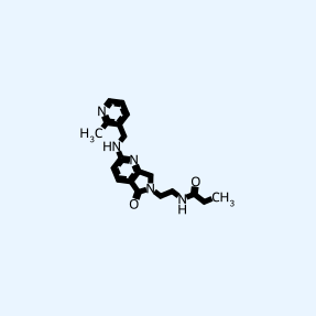 CCC(=O)NCCN1Cc2nc(NCc3cccnc3C)ccc2C1=O